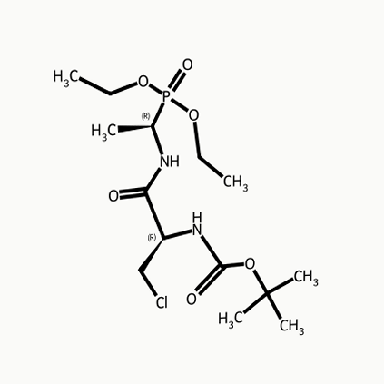 CCOP(=O)(OCC)[C@H](C)NC(=O)[C@H](CCl)NC(=O)OC(C)(C)C